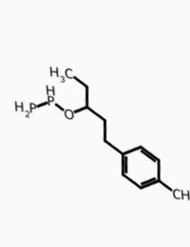 CCC(CCc1ccc(C)cc1)OPP